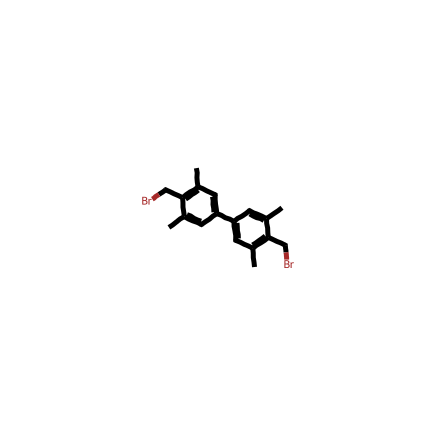 Cc1cc(-c2cc(C)c(CBr)c(C)c2)cc(C)c1CBr